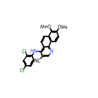 COc1ccc2c(ccc3c(Nc4ccc(Cl)cc4Cl)c(C#N)cnc32)c1OC